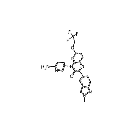 Cn1cc2cc(-c3nc4ccc(OCC(F)(F)F)nc4n(-c4ccc(N)nc4)c3=O)ccc2n1